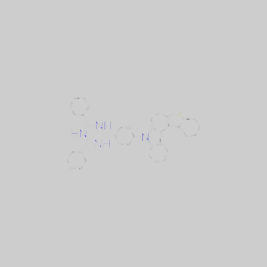 c1ccc(C2NC(c3ccccc3)NC(c3ccc(-n4c5ccccc5c5c6c(ccc54)sc4ccccc46)cc3)N2)cc1